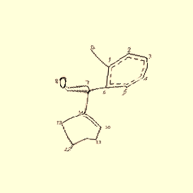 Cc1ccccc1C(=O)C1=CCCC1